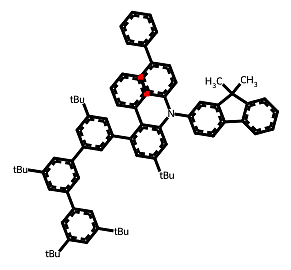 CC(C)(C)c1cc(-c2cc(-c3cc(C(C)(C)C)cc(N(c4ccc(-c5ccccc5)cc4)c4ccc5c(c4)C(C)(C)c4ccccc4-5)c3-c3ccccc3)cc(C(C)(C)C)c2)cc(-c2cc(C(C)(C)C)cc(C(C)(C)C)c2)c1